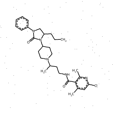 CCCC1CN(c2ccccc2)C(=O)N1C1CCN(C(C)CCNC(=O)c2c(C)cc(Cl)nc2C)CC1